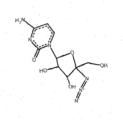 [N-]=[N+]=NC1(CO)OC(n2ccc(N)nc2=O)C(O)C1O